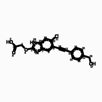 O=C(O)COc1nc2cc(C#Cc3ccc(CO)cc3)c(Cl)cc2[nH]1